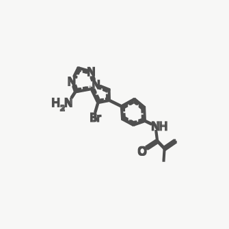 C=C(C)C(=O)Nc1ccc(-c2cn3ncnc(N)c3c2Br)cc1